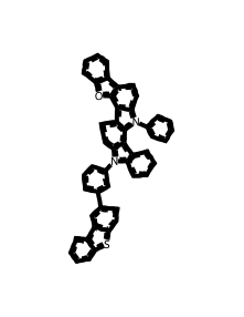 c1ccc(-n2c3ccc4c5ccccc5oc4c3c3ccc4c(c5ccccc5n4-c4cccc(-c5ccc6sc7ccccc7c6c5)c4)c32)cc1